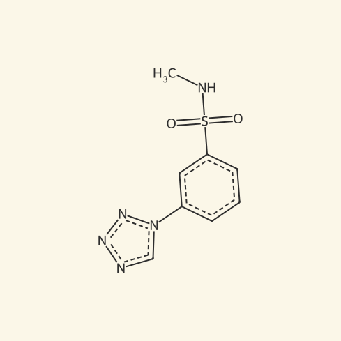 CNS(=O)(=O)c1cccc(-n2cnnn2)c1